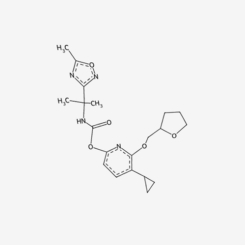 Cc1nc(C(C)(C)NC(=O)Oc2ccc(C3CC3)c(OCC3CCCO3)n2)no1